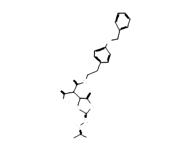 CC(C)=NN=C1NC(=O)C(C(C(=O)O)C(=O)NCCc2ccc(OCc3ccccc3)cc2)S1